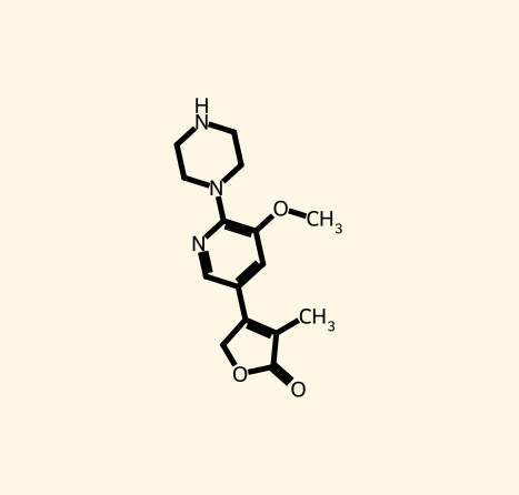 COc1cc(C2=C(C)C(=O)OC2)cnc1N1CCNCC1